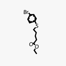 CCOC(=O)CCCCSc1ccc(Br)cc1